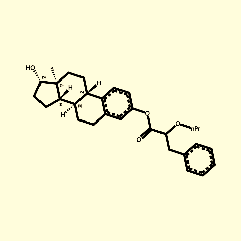 CCCOC(Cc1ccccc1)C(=O)Oc1ccc2c(c1)CC[C@@H]1[C@@H]2CC[C@]2(C)[C@@H](O)CC[C@@H]12